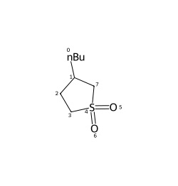 CCCCC1CCS(=O)(=O)C1